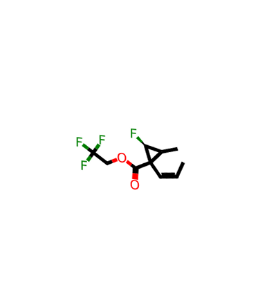 C/C=C\C1(C(=O)OCC(F)(F)F)C(C)[C@@H]1F